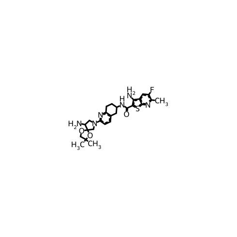 Cc1nc2sc(C(=O)NC3CCc4nc(N5CC(N)C6(C5)OCC(C)(C)O6)ccc4C3)c(N)c2cc1F